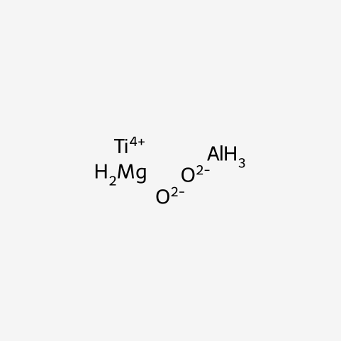 [AlH3].[MgH2].[O-2].[O-2].[Ti+4]